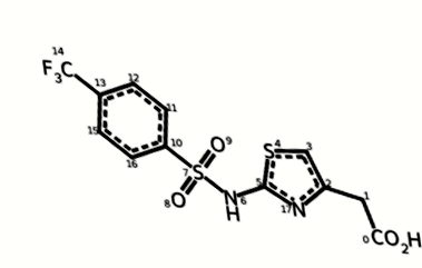 O=C(O)Cc1csc(NS(=O)(=O)c2ccc(C(F)(F)F)cc2)n1